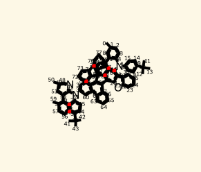 Cc1ccc(N(c2ccc(C(C)(C)C)cc2)c2cc3c(c4oc5ccccc5c24)-c2c(c4ccc(N(c5ccc(C(C)(C)C)cc5)c5ncc(C)cc5-c5ccccc5C)cc4c4ccccc24)C32c3ccccc3-c3ccccc32)c(-c2ccccc2C)c1